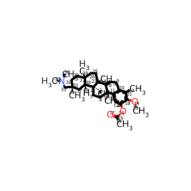 CC[C@@]12CC[C@]3(C)C(=CCc4c3cc(OC(C)=O)c(OC)c4C)[C@@]1(C)CC[C@@]1(C)CC[C@@](C)(CN(C)C)C[C@H]12